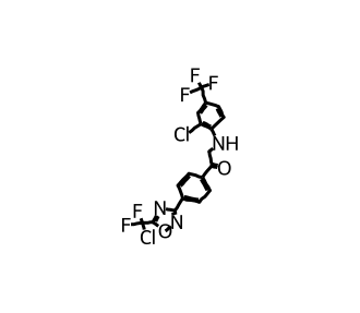 O=C(CNc1ccc(C(F)(F)F)cc1Cl)c1ccc(-c2noc(C(F)(F)Cl)n2)cc1